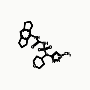 Cn1cc(N(C2CCOCC2)S(=O)(=O)NC(=O)Nc2c3c(cc4c2CCC4)CCC3)nn1